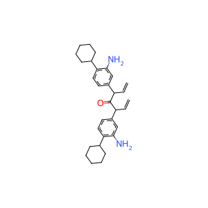 C=CC(C(=O)C(C=C)c1ccc(C2CCCCC2)c(N)c1)c1ccc(C2CCCCC2)c(N)c1